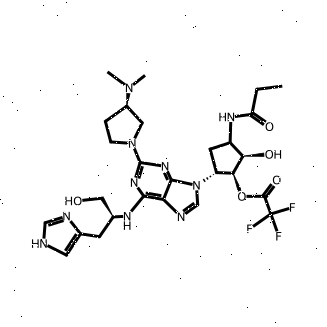 CCC(=O)NC1C[C@@H](n2cnc3c(N[C@H](CO)Cc4c[nH]cn4)nc(N4CC[C@@H](N(C)C)C4)nc32)[C@H](OC(=O)C(F)(F)F)[C@@H]1O